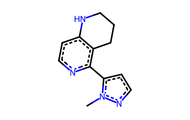 Cn1nccc1-c1nccc2c1CCCN2